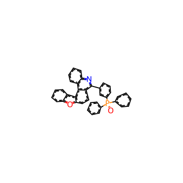 O=P(c1ccccc1)(c1ccccc1)c1cccc(-c2nc3ccccc3c3c2ccc2oc4ccccc4c23)c1